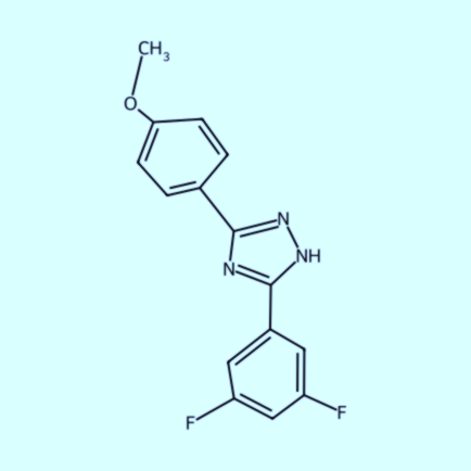 COc1ccc(-c2n[nH]c(-c3cc(F)cc(F)c3)n2)cc1